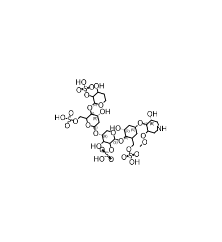 COOC1CNC[C@@H](O)[C@@H]1O[C@H]1CC(COS(=O)(=O)O)[C@@H](O[C@@H]2OC[C@@H](O[C@@H]3C[C@@H](O)[C@H](O[C@@H]4OCCC(O)C4OS(=O)(=O)O)C(COS(=O)(=O)O)O3)C(O)C2OS(=O)(=O)O)[C@H](O)C1